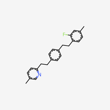 Cc1ccc(CCc2ccc(CCc3ccc(C)cc3F)cc2)nc1